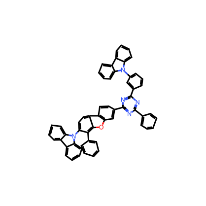 c1ccc(-c2nc(-c3cccc(-n4c5ccccc5c5ccccc54)c3)nc(-c3ccc4c(c3)oc3c(-c5ccccc5)c(-n5c6ccccc6c6ccccc65)ccc34)n2)cc1